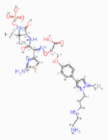 C[n+]1cc(-c2ccc(OC[C@H](O/N=C(/C(=O)N[C@@H]3C(=O)N(OS(=O)(=O)[O-])C3(C)C)c3csc(N)n3)C(=O)O)cc2)cn1CCCNCCN